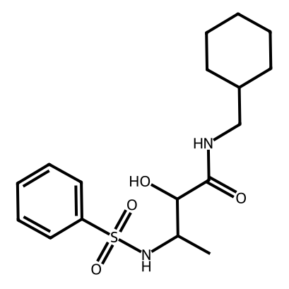 CC(NS(=O)(=O)c1ccccc1)C(O)C(=O)NCC1CCCCC1